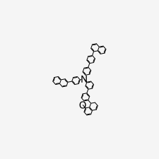 C1=Cc2cccc3c2C(C1)c1cc(-c2cccc(N(c4ccc(-c5ccc(-c6cccc7ccccc67)cc5)cc4)c4ccc(-c5ccc6ccccc6c5)cc4)c2)ccc1O3